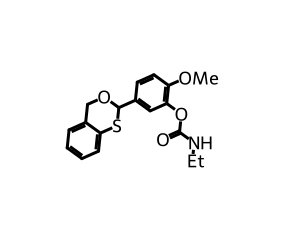 CCNC(=O)Oc1cc(C2OCc3ccccc3S2)ccc1OC